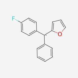 Fc1ccc([C](c2ccccc2)c2ccco2)cc1